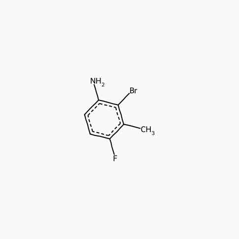 Cc1c(F)ccc(N)c1Br